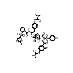 Cc1ccc(S(=O)(=O)N(C(=O)[C@H]2NC(C)(C)CS2)[C@H](C(=O)O)C(=O)C2=CC=C(OC(=O)N(C)C)CC2=O)cc1.Cc1nc(S(=O)(=O)N2CCC[C@H]2C(=O)N[C@@H](Cc2ccc(OC(=O)N(C)C)cc2)C(=O)O)c[nH]1